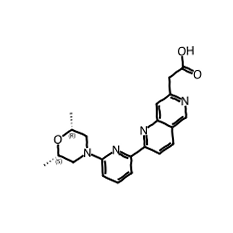 C[C@@H]1CN(c2cccc(-c3ccc4cnc(CC(=O)O)cc4n3)n2)C[C@H](C)O1